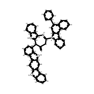 C=C1CC(n2c3ccccc3c3c4ccccc4c(-c4ccccc4)cc32)=Nc2c(oc3ccccc23)C1c1cccc2c1oc1cc3c(cc12)oc1ccccc13